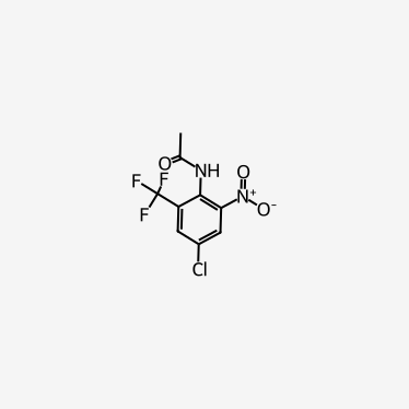 CC(=O)Nc1c([N+](=O)[O-])cc(Cl)cc1C(F)(F)F